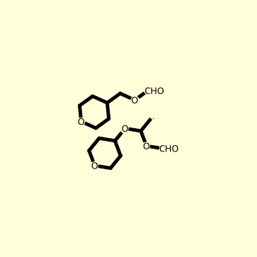 O=COCC1CCOCC1.[CH2]C(OC=O)OC1CCOCC1